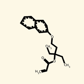 C=CC(=O)OC(CC)(CC)CCOc1ccc2ccccc2c1